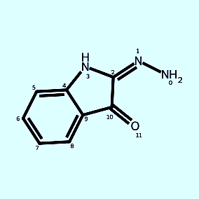 NN=C1Nc2ccccc2C1=O